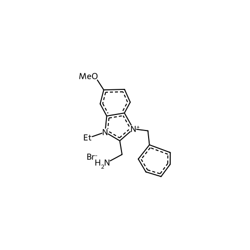 CCn1c(CN)[n+](Cc2ccccc2)c2ccc(OC)cc21.[Br-]